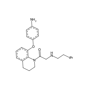 CC(C)CCNCC(=O)N1CCCc2cccc(Oc3ccc(N)cc3)c21